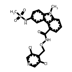 Cn1c2ccc(NS(C)(=O)=O)cc2c2c(C(=O)NOCc3c(Cl)cncc3Cl)cccc21